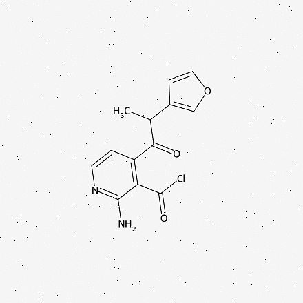 CC(C(=O)c1ccnc(N)c1C(=O)Cl)c1ccoc1